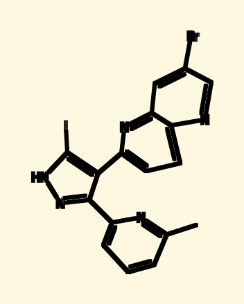 Cc1cccc(-c2n[nH]c(I)c2-c2ccc3ncc(Br)cc3n2)n1